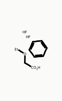 CCOCC(=O)O.F.F.c1ccccc1